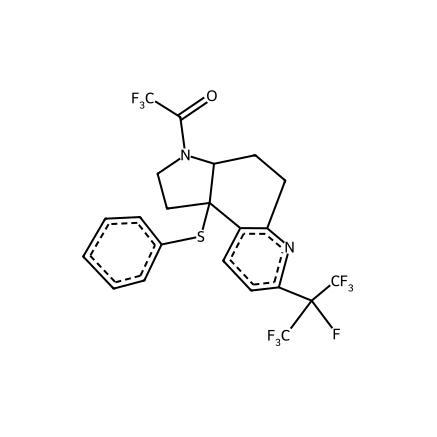 O=C(N1CCC2(Sc3ccccc3)c3ccc(C(F)(C(F)(F)F)C(F)(F)F)nc3CCC12)C(F)(F)F